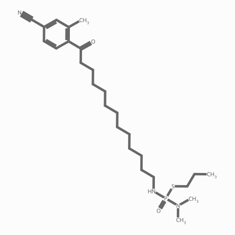 CCCSP(=O)(NCCCCCCCCCCCCC(=O)c1ccc(C#N)cc1C)N(C)C